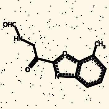 Cc1cccc2nc(C(=O)CNC=O)oc12